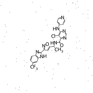 CC(NC(=O)c1ncnc(Nc2ccncc2)c1Cl)c1cc(-c2nc3ccc(C(F)(F)F)cc3[nH]2)no1